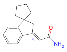 NC(=O)/C=C1\CC2(CCCC2)c2ccccc21